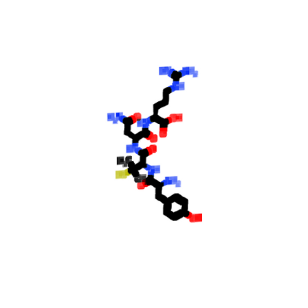 CC(C)(S)[C@H](NC(=O)[C@@H](N)Cc1ccc(O)cc1)C(=O)N[C@@H](CC(N)=O)C(=O)N[C@@H](CCCNC(=N)N)C(=O)O